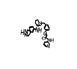 O=C(COc1cccc(CN2CCC[C@@H](Nc3ccc4[nH]ncc4c3)C2)c1)Nc1cccnc1